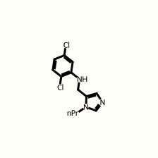 CCCn1cncc1CNc1cc(Cl)ccc1Cl